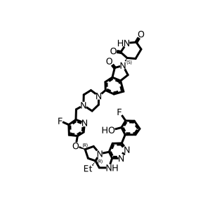 CC[C@@]12CNc3nnc(-c4cccc(F)c4O)cc3N1C[C@H](Oc1cnc(CN3CCN(c4ccc5c(c4)C(=O)N([C@H]4CCC(=O)NC4=O)C5)CC3)c(F)c1)C2